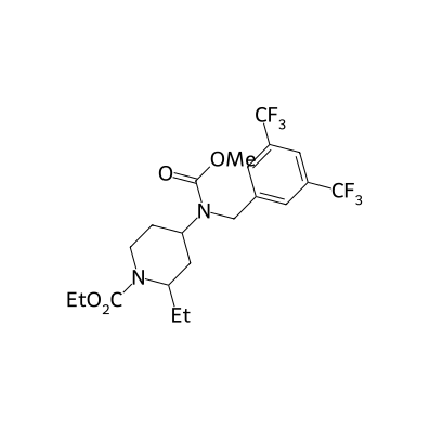 CCOC(=O)N1CCC(N(Cc2cc(C(F)(F)F)cc(C(F)(F)F)c2)C(=O)OC)CC1CC